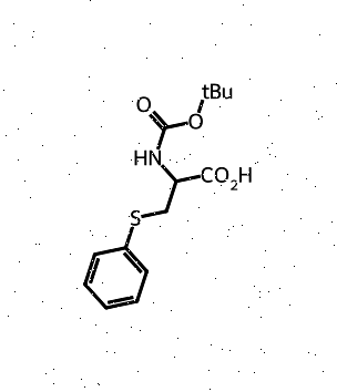 CC(C)(C)OC(=O)NC(CSc1ccccc1)C(=O)O